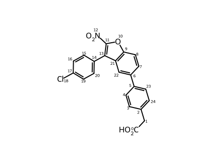 O=C(O)Cc1ccc(-c2ccc3oc([N+](=O)[O-])c(-c4ccc(Cl)cc4)c3c2)cc1